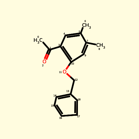 CC(=O)c1cc(C)c(C)cc1OCc1ccccc1